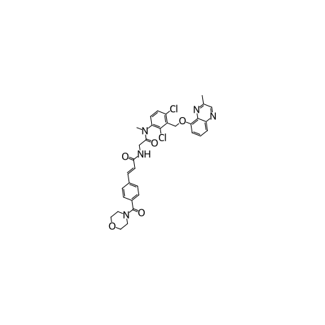 Cc1cnc2cccc(OCc3c(Cl)ccc(N(C)C(=O)CNC(=O)C=Cc4ccc(C(=O)N5CCOCC5)cc4)c3Cl)c2n1